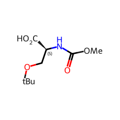 COC(=O)N[C@@H](COC(C)(C)C)C(=O)O